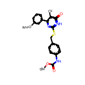 COc1cccc(-c2nc(SCc3ccc(NC(=O)OC(C)(C)C)cc3)[nH]c(=O)c2C#N)c1